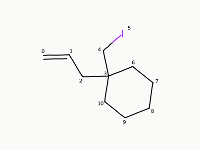 C=CCC1(CI)CCCCC1